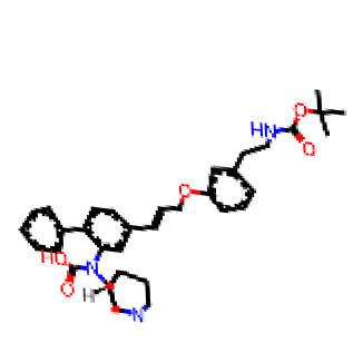 CC(C)(C)OC(=O)NCCc1cccc(OCC=Cc2ccc(-c3ccccc3)c(N(C(=O)O)[C@H]3CN4CCC3CC4)c2)c1